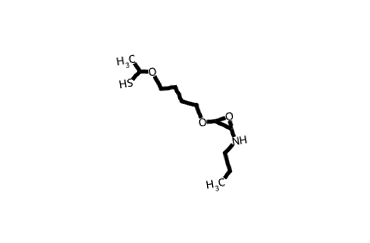 CCCNC1OC1OCCCCOC(C)S